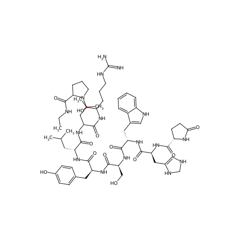 CCNC(=O)C1CCCN1C(O)C(CCCNC(=N)N)NC(=O)C(CC(C)C)NC(=O)[C@@H](CC(C)C)NC(=O)[C@H](Cc1ccc(O)cc1)NC(=O)[C@H](CO)NC(=O)[C@H](Cc1c[nH]c2ccccc12)NC(=O)[C@H](CC1=CNCN1)NC(=O)[C@@H]1CCC(=O)N1